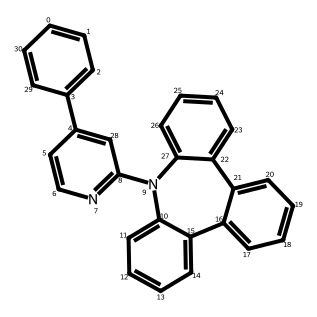 c1ccc(-c2ccnc(N3c4ccccc4-c4ccccc4-c4ccccc43)c2)cc1